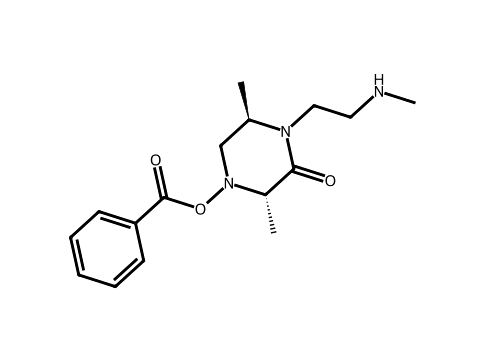 CNCCN1C(=O)[C@H](C)N(OC(=O)c2ccccc2)C[C@H]1C